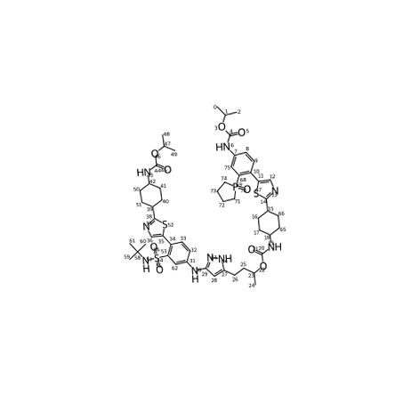 CC(C)OC(=O)Nc1ccc(-c2cnc(C3CCC(NC(=O)OC(C)CCc4cc(Nc5ccc(-c6cnc(C7CCC(NC(=O)OC(C)C)CC7)s6)c(S(=O)(=O)NC(C)(C)C)c5)n[nH]4)CC3)s2)c(P2(=O)CCCC2)c1